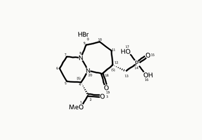 Br.COC(=O)[C@@H]1CCCN2CCC[C@H](CP(=O)(O)O)C(=O)N12